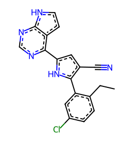 CCc1ccc(Cl)cc1-c1[nH]c(-c2ncnc3[nH]ccc23)cc1C#N